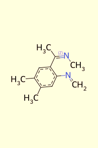 C=Nc1cc(C)c(C)cc1/C(C)=N\C